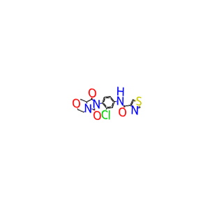 O=C(Nc1ccc(N2C(=O)C3COCCN3C2=O)c(Cl)c1)c1cscn1